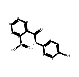 O=C(Oc1ccc(S)cc1)c1ccccc1[N+](=O)[O-]